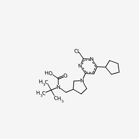 CC(C)(C)N(CC1CCN(c2cc(C3CCCC3)nc(Cl)n2)C1)C(=O)O